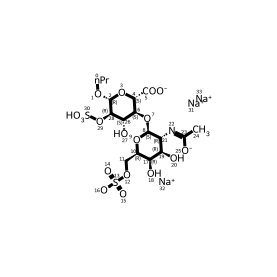 CCCO[C@@H]1O[C@H](C(=O)[O-])[C@@H](O[C@@H]2O[C@H](COS(=O)(=O)[O-])[C@H](O)[C@H](O)[C@H]2N=C(C)[O-])[C@H](O)[C@H]1OS(=O)(=O)O.[Na+].[Na+].[Na+]